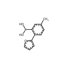 Cc1ccc(-c2ccco2)c(B(O)O)c1